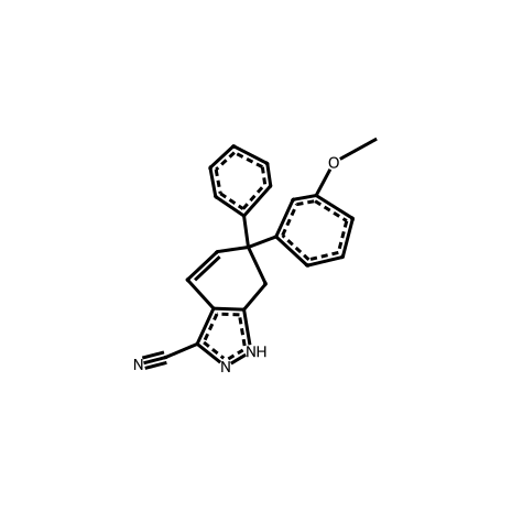 COc1cccc(C2(c3ccccc3)C=Cc3c(C#N)n[nH]c3C2)c1